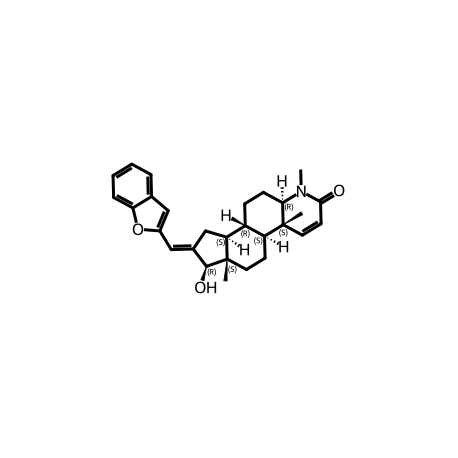 CN1C(=O)C=C[C@]2(C)[C@H]3CC[C@]4(C)[C@@H](O)C(=Cc5cc6ccccc6o5)C[C@H]4[C@@H]3CC[C@@H]12